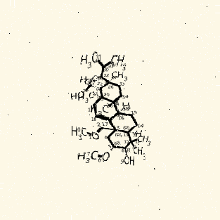 COC[C@]12C[C@@H](OC)[C@H](O)C(C)(C)[C@@H]1CC[C@H]1C2=CC[C@@]2(C)[C@H](C(=O)O)[C@@](C)([C@H](C)C(C)C)CC[C@]12C